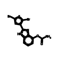 NC(=O)Oc1cccc2[nH]c(-c3cc(Br)sc3Br)nc12